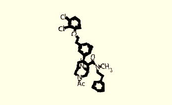 CC(=O)N1CC2CC(c3cccc(CCOc4cccc(Cl)c4Cl)c3)=C(C(=O)N(C)CCc3ccccc3)C(C1)N2